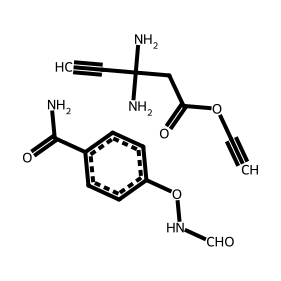 C#COC(=O)CC(N)(N)C#C.NC(=O)c1ccc(ONC=O)cc1